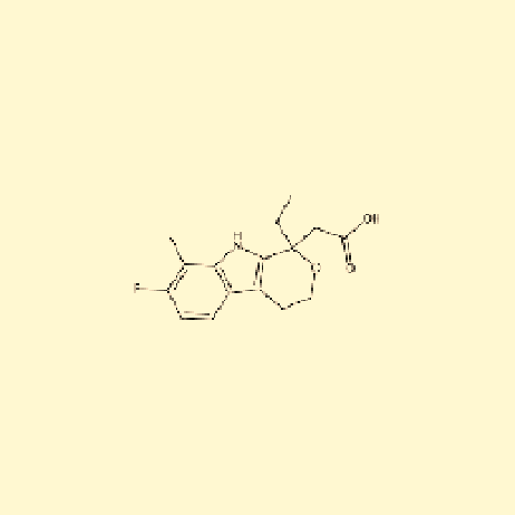 CCC1(CC(=O)O)OCCc2c1[nH]c1c(C)c(F)ccc21